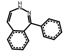 C1=Cc2ccccc2C(c2ccccc2)=NN1